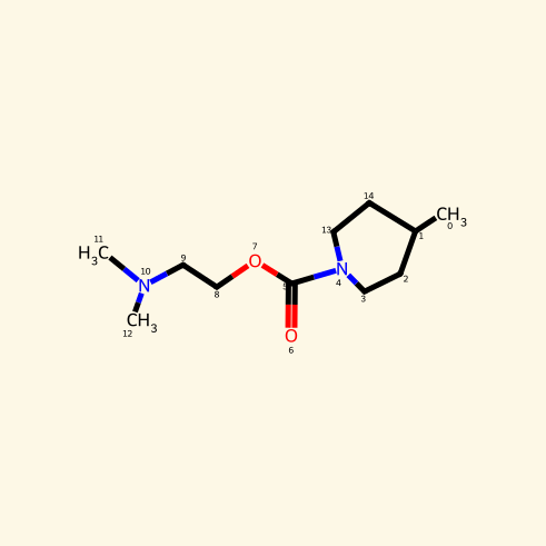 CC1CCN(C(=O)OCCN(C)C)CC1